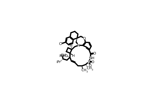 CO[C@@]1(C[C@@H](O)C(C)C)/C=C/C[C@H](C)[C@@H](C)S(=O)(=O)NC(=O)c2ccc3c(c2)N(C[C@@H]2CC[C@H]21)C[C@@]1(CCCc2cc(Cl)ccc21)CO3